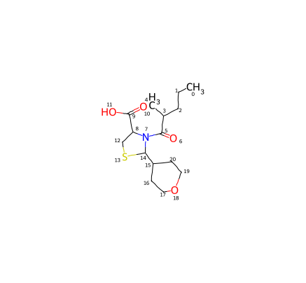 CCCC(C)C(=O)N1C(C(=O)O)CSC1C1CCOCC1